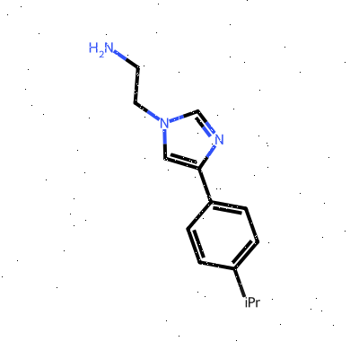 CC(C)c1ccc(-c2cn(CCN)cn2)cc1